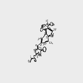 CCSC1=NC(=O)/C(=C\c2ccc3ncc(S(C)(=O)=O)c(OC)c3c2)S1